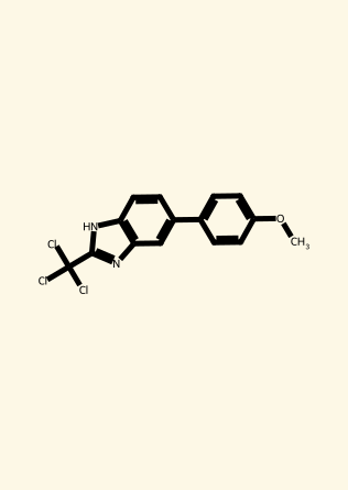 COc1ccc(-c2ccc3[nH]c(C(Cl)(Cl)Cl)nc3c2)cc1